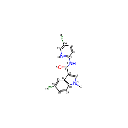 Cn1cc(C(=O)Nc2ccc(F)cn2)c2cc(F)ccc21